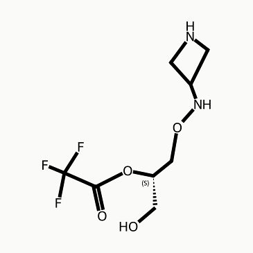 O=C(O[C@@H](CO)CONC1CNC1)C(F)(F)F